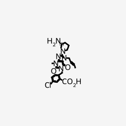 CC#CCn1c(N2CCC[C@H](N)C2)nc2c1c(=O)n(Cc1ccc(Cl)cc1C(=O)O)c(=O)n2C